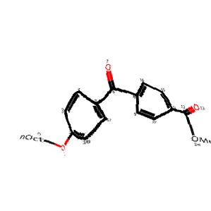 CCCCCCCCOc1ccc(C(=O)c2ccc(C(=O)OC)cc2)cc1